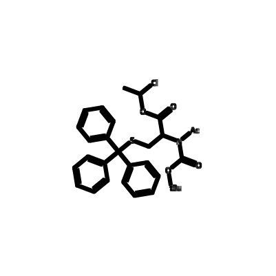 CC(=O)N(C(=O)OC(C)(C)C)C(CSC(c1ccccc1)(c1ccccc1)c1ccccc1)C(=O)OC(C)Cl